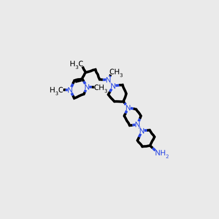 CC(CCN(C)N1CCC(N2CCN(N3CCC(N)CC3)CC2)CC1)C1=CN(C)CCN1C